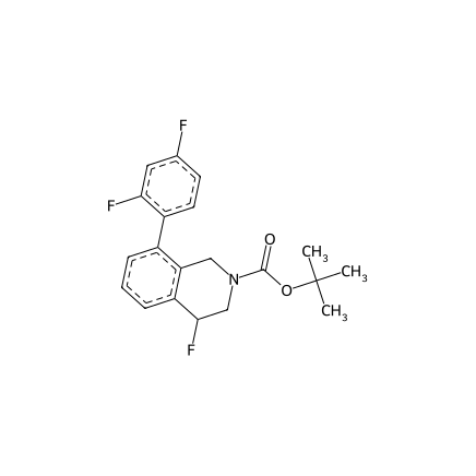 CC(C)(C)OC(=O)N1Cc2c(-c3ccc(F)cc3F)cccc2C(F)C1